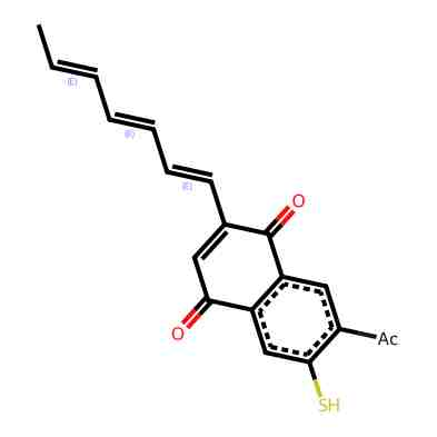 C/C=C/C=C/C=C/C1=CC(=O)c2cc(S)c(C(C)=O)cc2C1=O